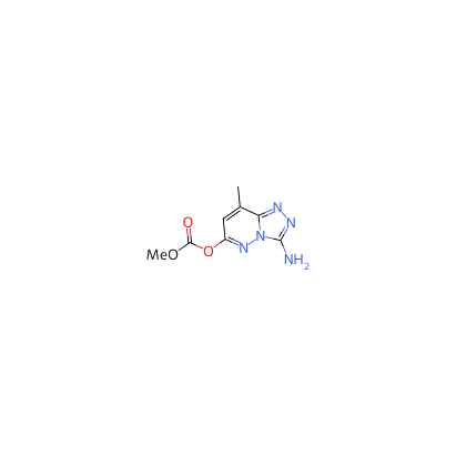 COC(=O)Oc1cc(C)c2nnc(N)n2n1